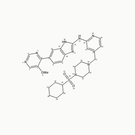 COc1cncnc1-c1ccc2nc(Nc3cc(CN4CCN(S(=O)(=O)C5CCCCC5)CC4)ccn3)[nH]c2c1